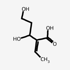 CC=C(C(=O)O)C(O)CCO